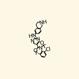 CC1(C)Oc2nc(Nc3ccc4c(c3)CCNC4)ncc2C(=O)N1c1c(F)cccc1Cl